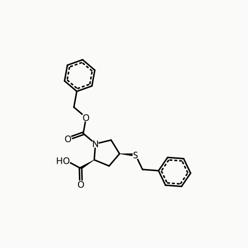 O=C(O)[C@@H]1C[C@H](SCc2ccccc2)CN1C(=O)OCc1ccccc1